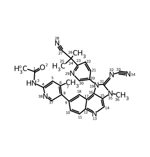 CC(=O)Nc1cc(C)c(-c2ccc3ncc4c(c3c2)n(-c2ccc(C(C)(C)C#N)nc2)c(=NC#N)n4C)cn1